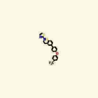 FC(F)(F)c1ccc(Oc2ccc(-c3ccc4c(c3)CCN(c3nccs3)S4)cc2)cc1